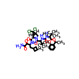 C[C@H](OC(=O)[C@@H](NC(=O)N[C@H](C(=O)N1C[C@H]2[C@@H]([C@H]1C(=O)NC(CC1CCC1)C(=O)C(N)=O)C2(Cl)Cl)C(C)(C)C)C(C)(C)C)c1ccccc1